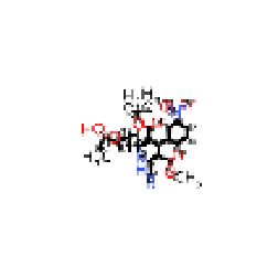 C=C.C=CC(=O)O.COC(=O)C1=C(C#N)NC(C)=C(C(=O)OC(C)C)C1c1cccc([N+](=O)[O-])c1